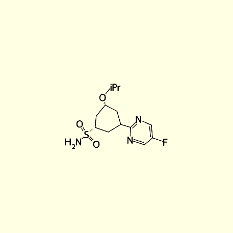 CC(C)O[C@@H]1CC(c2ncc(F)cn2)C[C@H](S(N)(=O)=O)C1